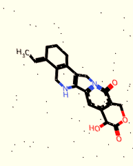 C/C=C1\CCCC2=C1CNC1=C2Cn2c1cc1c(c2=O)COC(=O)C1O